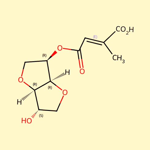 C/C(=C\C(=O)O[C@@H]1CO[C@H]2[C@@H]1OC[C@@H]2O)C(=O)O